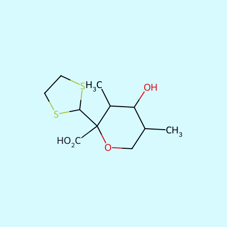 CC1COC(C(=O)O)(C2SCCS2)C(C)C1O